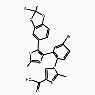 Cc1nc(-c2cc(Br)ccc2-n2cc(C(=O)O)nc2C)c(-c2ccc3c(c2)OC(F)(F)O3)o1